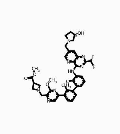 COC(=O)C1CN(Cc2ncc(-c3cccc(-c4cccc(Nc5nc(C(F)F)nc6cc(CN7CC[C@@H](O)C7)cnc56)c4C)c3Cl)nc2OC)C1